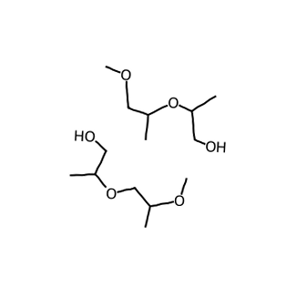 COC(C)COC(C)CO.COCC(C)OC(C)CO